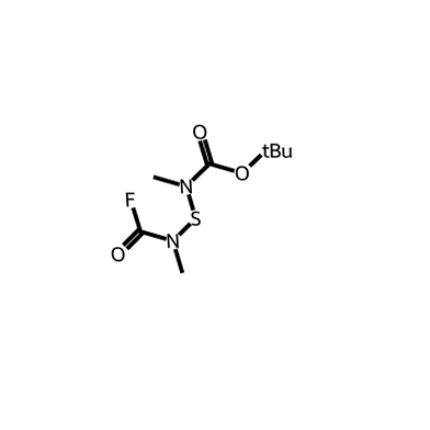 CN(SN(C)C(=O)OC(C)(C)C)C(=O)F